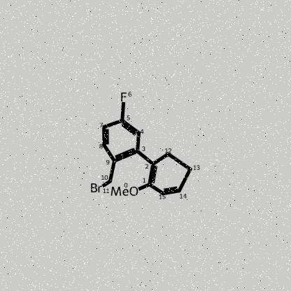 COC1=C(c2cc(F)ccc2CBr)[CH]CC=C1